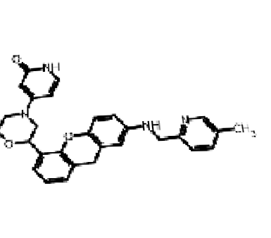 Cc1ccc(CNc2ccc3c(c2)Cc2cccc(C4CN(c5cc[nH]c(=O)c5)CCO4)c2O3)nc1